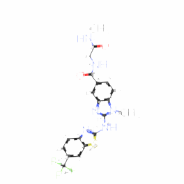 CNC(=O)CNC(=O)c1ccc2c(c1)nc(Nc1nc3ccc(C(F)(F)F)cc3s1)n2C